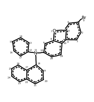 Brc1ccc2c(c1)oc1cc(N(c3ccccc3)c3cccc4ccccc34)ccc12